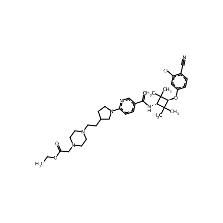 CCOC(=O)CN1CCN(CCC2CCN(c3ccc(C(=O)N[C@H]4C(C)(C)[C@H](Oc5ccc(C#N)c(Cl)c5)C4(C)C)cn3)C2)CC1